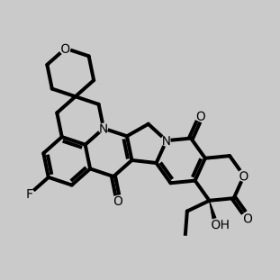 CC[C@@]1(O)C(=O)OCc2c1cc1n(c2=O)Cc2c-1c(=O)c1cc(F)cc3c1n2CC1(CCOCC1)C3